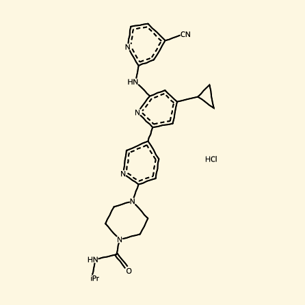 CC(C)NC(=O)N1CCN(c2ccc(-c3cc(C4CC4)cc(Nc4cc(C#N)ccn4)n3)cn2)CC1.Cl